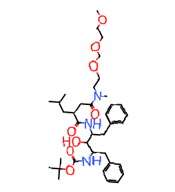 COCCOCOCCN(C)C(=O)CC(CC(C)C)C(=O)NC(Cc1ccccc1)C(O)C(Cc1ccccc1)NC(=O)OC(C)(C)C